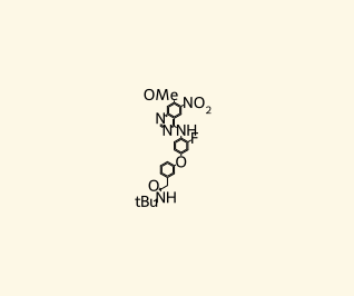 COc1cc2ncnc(Nc3ccc(Oc4cccc(CC(=O)NC(C)(C)C)c4)cc3F)c2cc1[N+](=O)[O-]